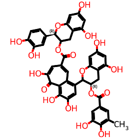 Cc1cc(C(=O)O[C@@H]2Cc3c(O)cc(O)cc3OC2c2cc(O)c(O)c3c(=O)c(O)cc(C(=O)OC4Cc5c(O)cc(O)cc5O[C@@H]4c4ccc(O)c(O)c4)cc23)cc(O)c1O